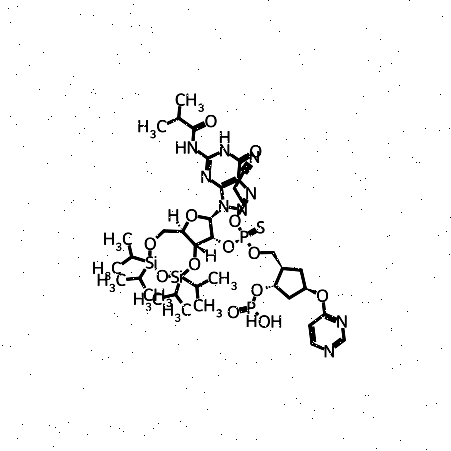 CC(C)C(=O)Nc1nc2c(nnn2[C@@H]2O[C@@H]3CO[Si](C(C)C)(C(C)C)O[Si](C(C)C)(C(C)C)O[C@H]3[C@H]2O[P@@](=S)(OCCC#N)OC[C@H]2C[C@@H](Oc3ccncn3)C[C@@H]2O[PH](=O)O)c(=O)[nH]1